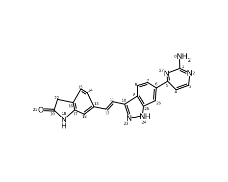 Nc1nccc(-c2ccc3c(C=Cc4ccc5c(c4)NC(=O)C5)n[nH]c3c2)n1